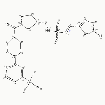 O=C(C1CCN(c2nccc(C(F)(F)F)n2)CC1)N1CC[C@H](CNS(=O)(=O)/C=C/c2ccc(Cl)s2)C1